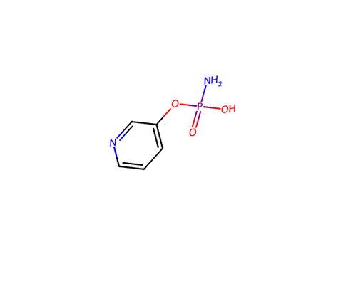 NP(=O)(O)Oc1cccnc1